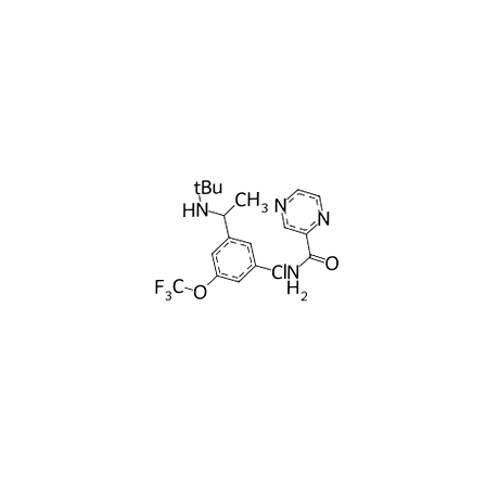 CC(NC(C)(C)C)c1cc(Cl)cc(OC(F)(F)F)c1.NC(=O)c1cnccn1